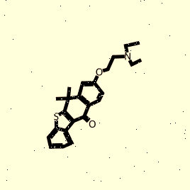 CCN(CC)CCOc1ccc2c(c1)C(C)(C)c1sc3ccccc3c1C2=O